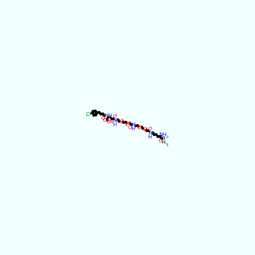 BC(=O)[C@@H](N)CCCCNC(=O)COCCOCCNC(=O)COCCOCCNC(=O)CC[C@H](NC(=O)CCCc1ccc(Cl)cc1)C(=O)O